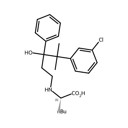 CCCC[C@H](NCCC(O)(c1ccccc1)C(C)(C)c1cccc(Cl)c1)C(=O)O